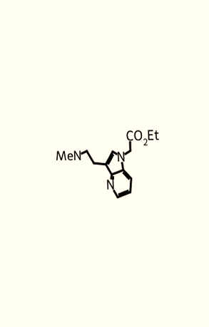 CCOC(=O)Cn1cc(CCNC)c2ncccc21